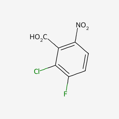 O=C(O)c1c([N+](=O)[O-])ccc(F)c1Cl